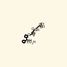 CCOC(CCCNC(=O)c1cc(COc2cccc(C(NC(=O)O)c3ccccc3)c2)n(C)n1)OCC